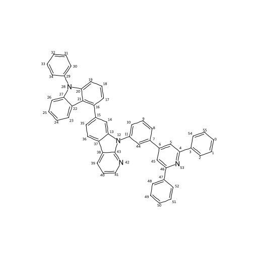 c1ccc(-c2cc(-c3cccc(-n4c5cc(-c6cccc7c6c6ccccc6n7-c6ccccc6)ccc5c5cccnc54)c3)cc(-c3ccccc3)n2)cc1